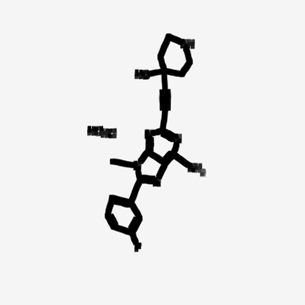 Cl.Cl.Cn1c(-c2cccc(F)c2)nc2c(N)nc(C#CC3(O)CCNCC3)nc21